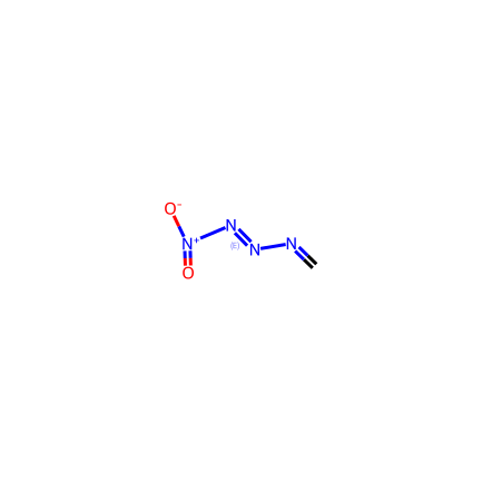 C=N/N=N/[N+](=O)[O-]